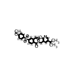 COc1ccc(S(=O)(=O)c2ccc3c(=O)n(Cc4cc(C(C)C)cnc4O)ncc3c2)cc1